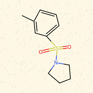 Cc1cccc(S(=O)(=O)N2CCCC2)c1